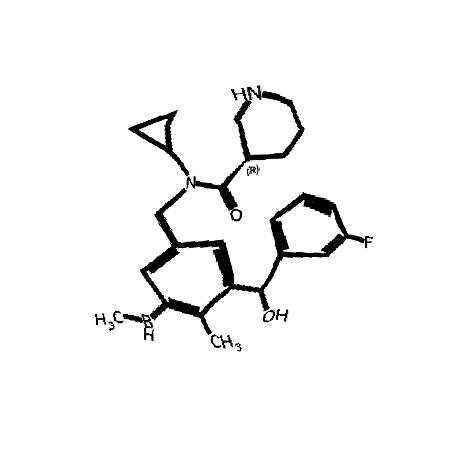 CBc1cc(CN(C(=O)[C@@H]2CCCNC2)C2CC2)cc(C(O)c2cccc(F)c2)c1C